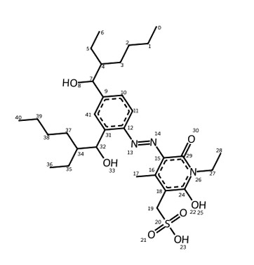 CCCCC(CC)C(O)c1ccc(/N=N/c2c(C)c(CS(=O)(=O)O)c(O)n(CC)c2=O)c(C(O)C(CC)CCCC)c1